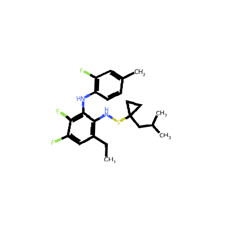 CCc1cc(F)c(F)c(Nc2ccc(C)cc2F)c1NSC1(CC(C)C)CC1